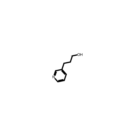 O[C]CCc1cccnc1